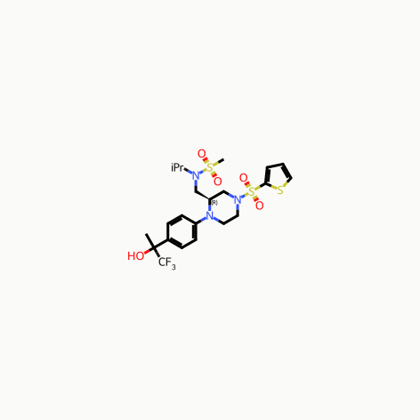 CC(C)N(C[C@H]1CN(S(=O)(=O)c2cccs2)CCN1c1ccc(C(C)(O)C(F)(F)F)cc1)S(C)(=O)=O